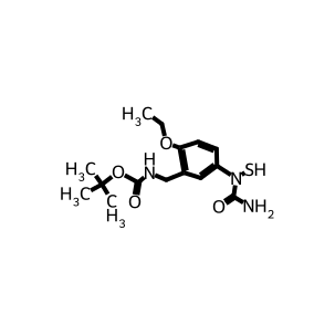 CCOc1ccc(N(S)C(N)=O)cc1CNC(=O)OC(C)(C)C